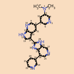 CN(C)c1cncc(-c2cnc3[nH]cc(-c4nc5c(-c6cccnc6)cncc5[nH]4)c3c2)c1